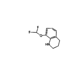 FC(F)Oc1cccc2c1NCCC2